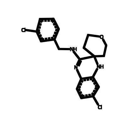 Clc1cccc(CNC2=Nc3ccc(Cl)cc3NC23CCOCC3)c1